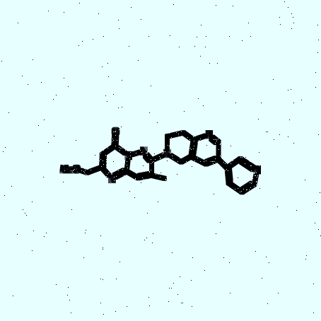 COCc1cc(=O)n2nc(N3CCc4ncc(-c5cccnc5)cc4C3)c(C)cc2n1